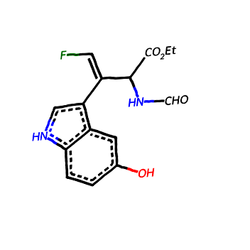 CCOC(=O)C(NC=O)/C(=C/F)c1c[nH]c2ccc(O)cc12